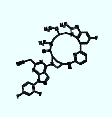 COC1CN(C)C(=O)C2CC(CN2c2nc(CC#N)nc3c2cnn3-c2ccc(F)cc2F)Nc2cccc(n2)-c2cc(F)cc3nc(C)n(c23)C1